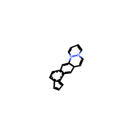 C1=Cc2ccc3c(c2=C1)=CC1C=CN2C=CC=CN2C1=C3